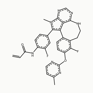 C=CC(=O)Nc1ccc(-c2c3c4c(ncnc4n2C)NCCc2c-3ccc(Oc3nccc(C)n3)c2F)cc1F